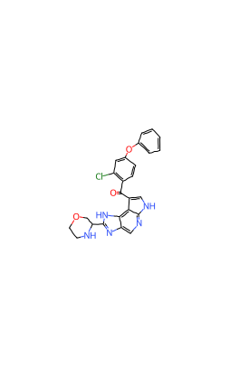 O=C(c1ccc(Oc2ccccc2)cc1Cl)c1c[nH]c2ncc3nc(C4COCCN4)[nH]c3c12